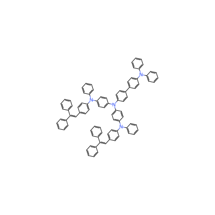 C(=C(c1ccccc1)c1ccccc1)c1ccc(N(c2ccccc2)c2ccc(N(c3ccc(-c4ccc(N(c5ccccc5)c5ccccc5)cc4)cc3)c3ccc(N(c4ccccc4)c4ccc(C=C(c5ccccc5)c5ccccc5)cc4)cc3)cc2)cc1